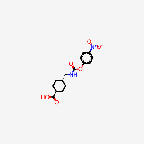 O=C(NC[C@H]1CC[C@H](C(=O)O)CC1)Oc1ccc([N+](=O)[O-])cc1